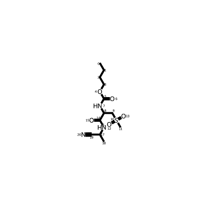 CCCCOC(=O)NC(CS(C)(=O)=O)C(=O)NC(C)C#N